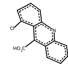 O=C(O)c1c2ccccc2nc2cccc(Cl)c12